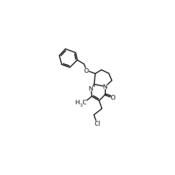 Cc1nc2n(c(=O)c1CCCl)CCCC2OCc1ccccc1